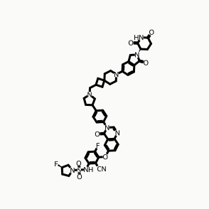 N#Cc1c(NS(=O)(=O)N2CC[C@@H](F)C2)ccc(F)c1Oc1ccc2ncn(-c3ccc(C4CCN(CC5CC6(CCN(c7ccc8c(c7)CN([C@H]7CCC(=O)NC7=O)C8=O)CC6)C5)C4)cc3)c(=O)c2c1